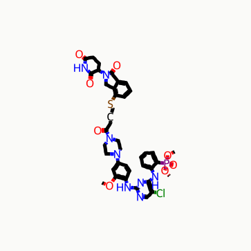 COc1cc(N2CCN(C(=O)CCCSc3cccc4c3CN(C3CCC(=O)NC3=O)C4=O)CC2)ccc1Nc1ncc(Cl)c(Nc2ccccc2P(=O)(OC)OC)n1